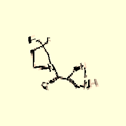 O=C(c1cn[nH]c1)N1CCC(F)(F)C1